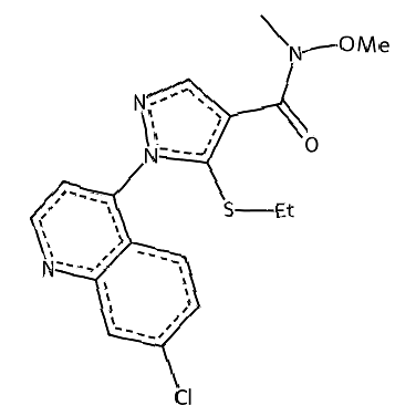 CCSc1c(C(=O)N(C)OC)cnn1-c1ccnc2cc(Cl)ccc12